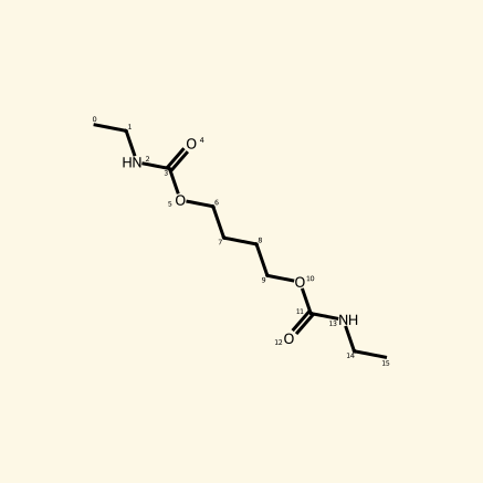 CCNC(=O)OCCCCOC(=O)NCC